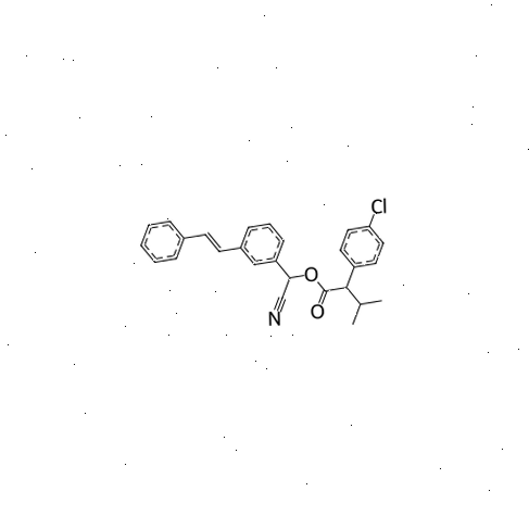 CC(C)C(C(=O)OC(C#N)c1cccc(C=Cc2ccccc2)c1)c1ccc(Cl)cc1